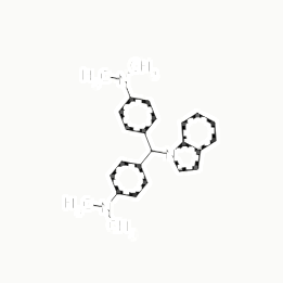 CN(C)c1ccc(C(c2ccc(N(C)C)cc2)n2ccc3ccccc32)cc1